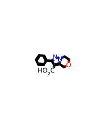 O=C(O)c1c(-c2ccccc2)nn2c1COCC2